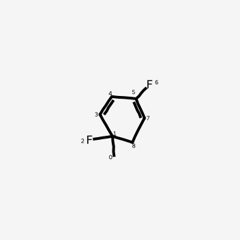 CC1(F)C=CC(F)=CC1